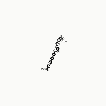 COC(=O)c1ccc(N2CCN(c3ccc(-c4ccc(C(=O)Nc5cccc(Sc6cnc(N7CCC(C)(NC(=O)OC(C)(C)C)CC7)cn6)c5)cc4)cc3)CC2)cn1